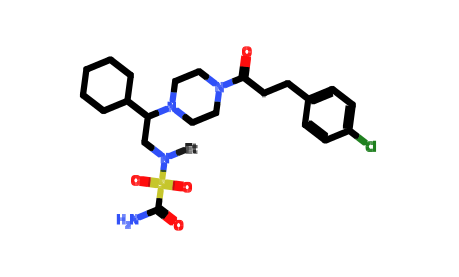 CCN(CC(C1CCCCC1)N1CCN(C(=O)[CH]Cc2ccc(Cl)cc2)CC1)S(=O)(=O)C(N)=O